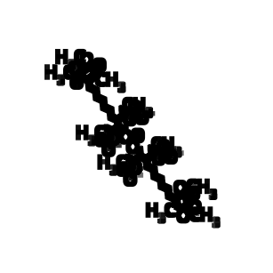 CCC(O[N+](=O)[O-])C(CCCCCCCC1=C(C)C(=O)C(OC)=C(OC)C1=O)C(COC(=O)OCC(C(CC)O[N+](=O)[O-])C(CCCCCCCC1=C(C)C(=O)C(OC)=C(OC)C1=O)C(CC)O[N+](=O)[O-])C(CC)O[N+](=O)[O-]